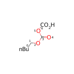 CCCCCOC(=O)OC(=O)O